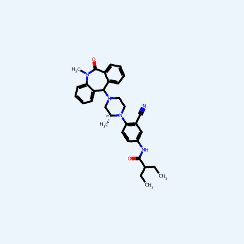 CCC(CC)C(=O)Nc1ccc(N2CCN(C3c4ccccc4C(=O)N(C)c4ccccc43)C[C@H]2C)c(C#N)c1